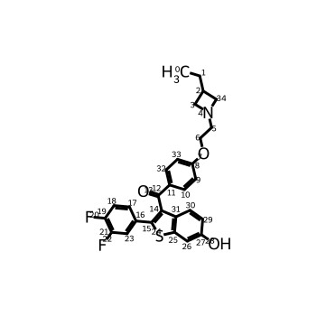 CCC1CN(CCOc2ccc(C(=O)c3c(-c4ccc(F)c(F)c4)sc4cc(O)ccc34)cc2)C1